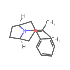 CC(C)=C1C[C@H]2CC[C@@H](C1)N2Cc1ccccc1